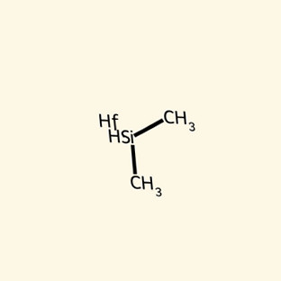 C[SiH]C.[Hf]